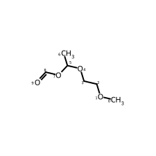 COCCOC(C)OC=O